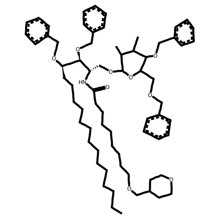 CCCCCCCCCCCCCC[C@@H](OCc1ccccc1)[C@@H](OCc1ccccc1)[C@H](COC1OC(COCc2ccccc2)C(OCc2ccccc2)C(C)C1C)NC(=O)CCCCCCCCOCC1CCOCC1